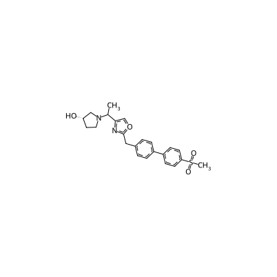 CC(c1coc(Cc2ccc(-c3ccc(S(C)(=O)=O)cc3)cc2)n1)N1CC[C@H](O)C1